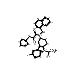 CCC(C(=O)O)n1c2c(c3cc(F)ccc31)CC(N(Cc1cccc3ccccc13)C(=O)C(C)Cc1ccccc1)CC2